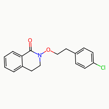 O=C1c2ccccc2CCN1OCCc1ccc(Cl)cc1